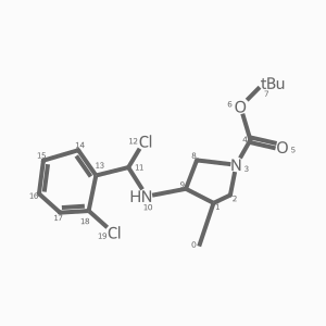 CC1CN(C(=O)OC(C)(C)C)CC1NC(Cl)c1ccccc1Cl